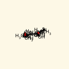 Cc1ncsc1-c1ccc(CNC(=O)C2CC(O)CN2C(=O)C(NC(=O)CCCNC(=O)CCC(=O)NN2C(=O)C(C)C3CCC(C)C4CCC5(C)OOC43C2O5)C(C)(C)C)cc1